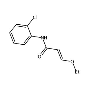 CCO/C=C/C(=O)Nc1ccccc1Cl